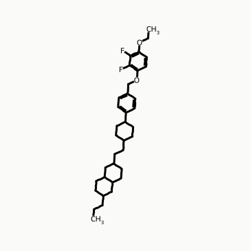 CCCC1CCC2CC(CCC3CCC(c4ccc(COc5ccc(OCC)c(F)c5F)cc4)CC3)CCC2C1